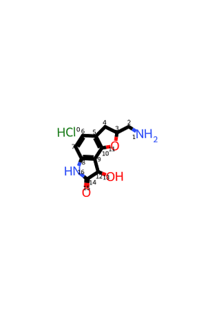 Cl.NCC1Cc2ccc3c(c2O1)C(O)C(=O)N3